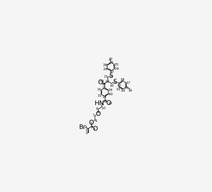 C=C(Br)C(=O)OCCOCCNC(=O)c1ccc(C(=O)C(CSc2ccc(C)cc2)CSc2ccc(C)cc2)cc1